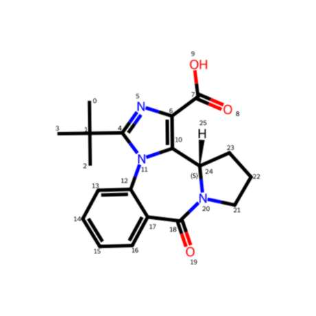 CC(C)(C)c1nc(C(=O)O)c2n1-c1ccccc1C(=O)N1CCC[C@@H]21